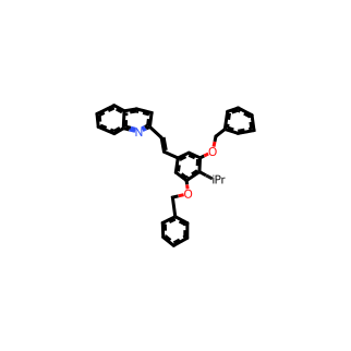 CC(C)c1c(OCc2ccccc2)cc(C=Cc2ccc3ccccc3n2)cc1OCc1ccccc1